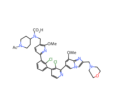 COc1nc(-c2cccc(-c3ccnc(-c4cc(OC)c5nc(CN6CCOCC6)cn5c4)c3Cl)c2Cl)ccc1CN(C(=O)O)C1CCN(C(C)=O)CC1